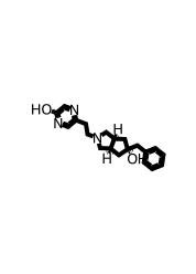 Oc1cnc(CCN2C[C@@H]3C[C@@](O)(Cc4ccccc4)C[C@@H]3C2)cn1